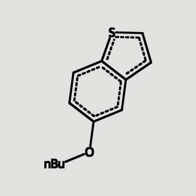 CCCCOc1ccc2sccc2c1